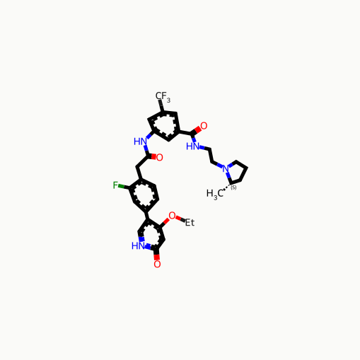 CCOc1cc(=O)[nH]cc1-c1ccc(CC(=O)Nc2cc(C(=O)NCCN3CCC[C@@H]3C)cc(C(F)(F)F)c2)c(F)c1